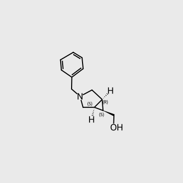 OC[C@H]1[C@H]2CN(Cc3ccccc3)C[C@@H]12